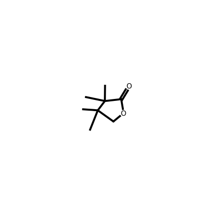 CC1(C)COC(=O)C1(C)C